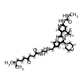 CNC(=O)Nc1cc(C(F)(F)F)c(-c2nc(N3CCOCC3)c3cc(CNCCNC(=O)CCC(=O)/C=C/CN(C)C)cn3n2)cn1